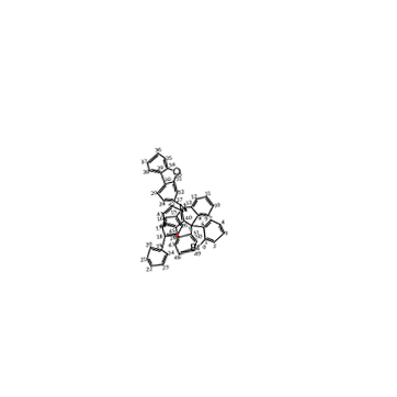 Brc1ccccc1C1(c2ccccc2N(c2ccc(-c3ccccc3)cc2)c2ccc3c(c2)oc2ccccc23)c2ccccc2-c2ccccc21